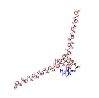 COCCOCCOCCOCCOCCOCCC(CCOCCOCCOCCOCCOCCOC)(C(=O)O)C(=O)O[C@@]1(N)CCCC[C@H]1N